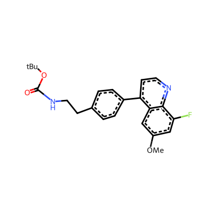 COc1cc(F)c2nccc(-c3ccc(CCNC(=O)OC(C)(C)C)cc3)c2c1